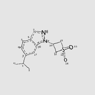 CC(C)c1ccc2cnn(C3CS(=O)(=O)C3)c2c1